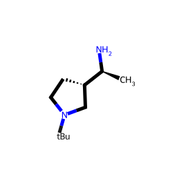 C[C@H](N)[C@H]1CCN(C(C)(C)C)C1